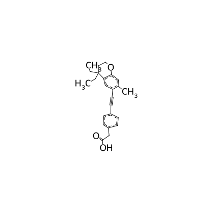 CCC1(CC)CCOc2cc(C)c(C#Cc3ccc(CC(=O)O)cc3)cc21